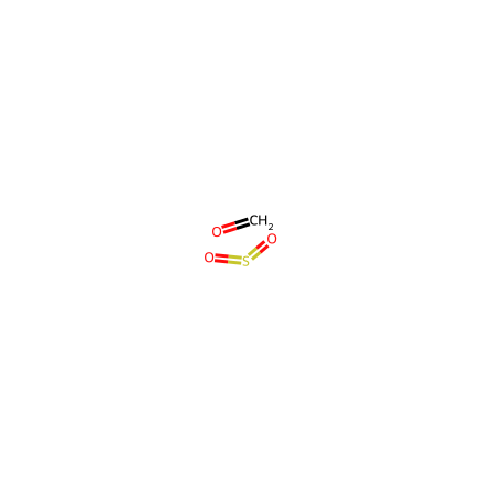 C=O.O=S=O